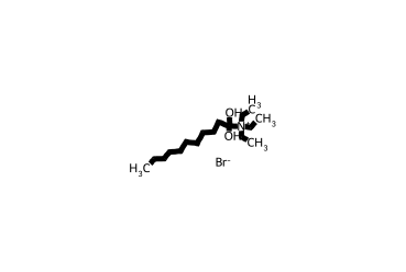 CCCCCCCCCCC(O)(O)[N+](CC)(CC)CC.[Br-]